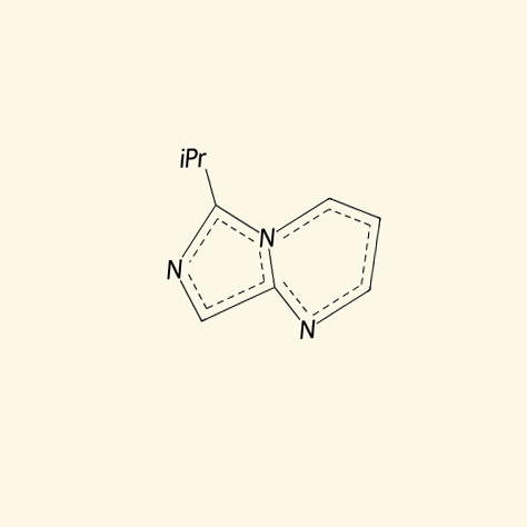 CC(C)c1ncc2ncccn12